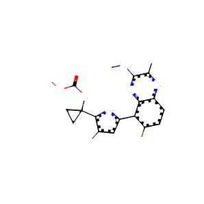 CCOC(=O)c1cc(-c2c(F)ccc3nc(C)c(NC(C)C)nc23)[nH]c1C1(NC(=O)OC(C)(C)C)CC1